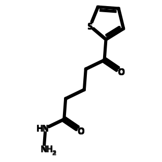 NNC(=O)CCCC(=O)c1cccs1